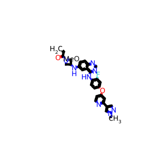 C=CC(=O)N1CC(Nc2cc3c(Nc4ccc(Oc5ccnc(-c6cnn(C)c6)c5)cc4F)ncnc3cc2OC)C1